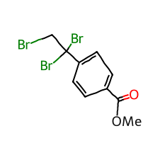 COC(=O)c1ccc(C(Br)(Br)CBr)cc1